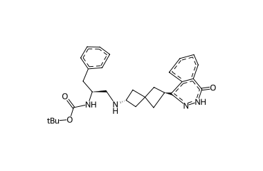 CC(C)(C)OC(=O)N[C@H](CN[C@H]1CC2(C1)C[C@H](c1n[nH]c(=O)c3ccccc31)C2)Cc1ccccc1